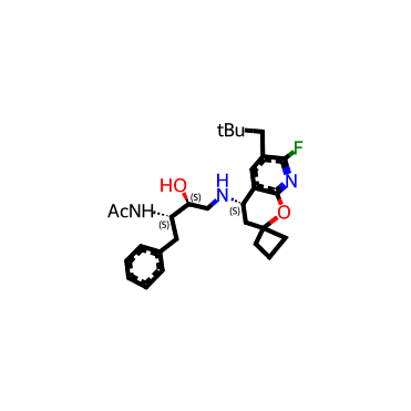 CC(=O)N[C@@H](Cc1ccccc1)[C@@H](O)CN[C@H]1CC2(CCC2)Oc2nc(F)c(CC(C)(C)C)cc21